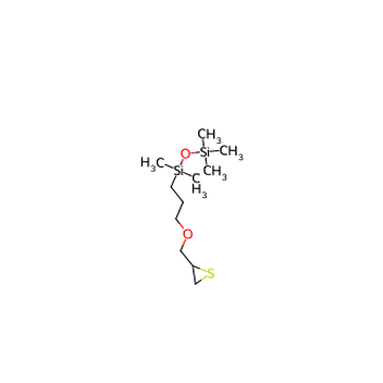 C[Si](C)(C)O[Si](C)(C)CCCOCC1CS1